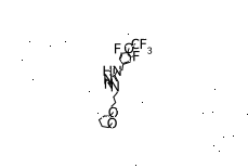 Fc1cc(CNc2cn(CCCCOC3CCCCO3)nn2)cc(F)c1OC(F)(F)F